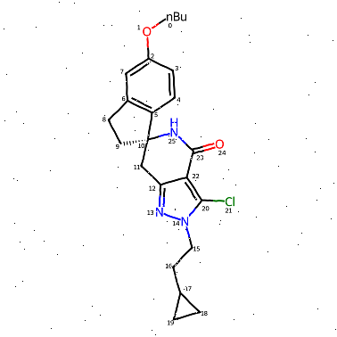 CCCCOc1ccc2c(c1)CC[C@]21Cc2nn(CCC3CC3)c(Cl)c2C(=O)N1